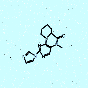 CN1C(=O)C2CCCCN2c2nc(-n3ccnc3)ncc21